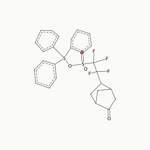 O=C1CC2CC1CC2C(F)(F)C(F)(F)S(=O)(=O)OS(c1ccccc1)(c1ccccc1)c1ccccc1